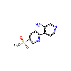 CS(=O)(=O)c1ccc(-c2ccncc2N)nc1